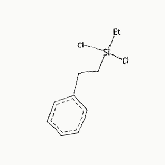 CC[Si](Cl)(Cl)CCc1ccccc1